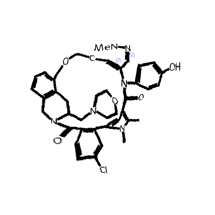 CN/N=C\C1=C\CCOc2cccc3c2CC(CN2CCOCC2)N(C3)C(=O)c2ccc(Cl)cc2-c2cc(c(C)n2C)C(=O)N1c1ccc(O)cc1